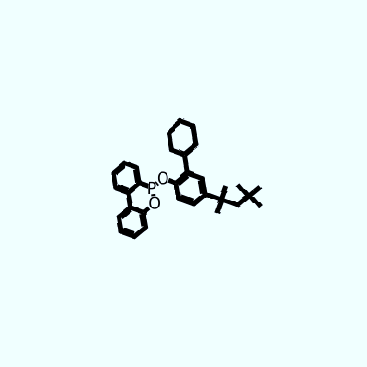 CC(C)(C)CC(C)(C)c1ccc(OP2Oc3ccccc3-c3ccccc32)c(C2CCCCC2)c1